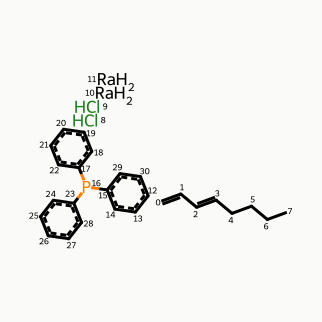 C=CC=CCCCC.Cl.Cl.[RaH2].[RaH2].c1ccc(P(c2ccccc2)c2ccccc2)cc1